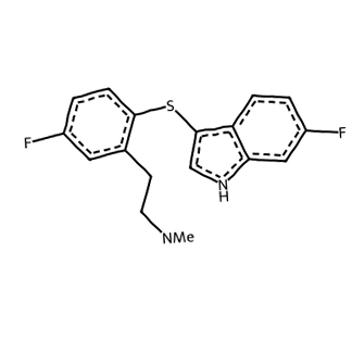 CNCCc1cc(F)ccc1Sc1c[nH]c2cc(F)ccc12